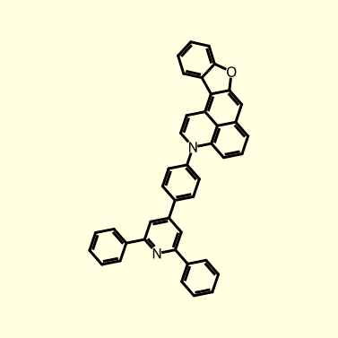 C1=CN(c2ccc(-c3cc(-c4ccccc4)nc(-c4ccccc4)c3)cc2)c2cccc3cc4oc5ccccc5c4c1c23